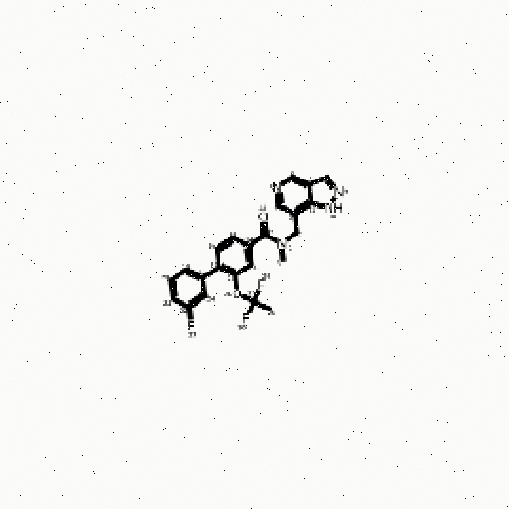 CN(Cc1cncc2cn[nH]c12)C(=O)c1ccc(-c2cccc(F)c2)c(OC(C)(F)F)c1